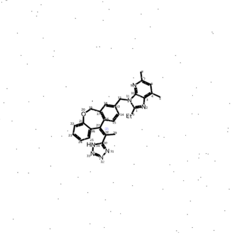 CCc1nc2c(C)cc(C)nc2n1Cc1ccc2c(c1)COc1ccccc1/C2=C(/C)c1nnn[nH]1